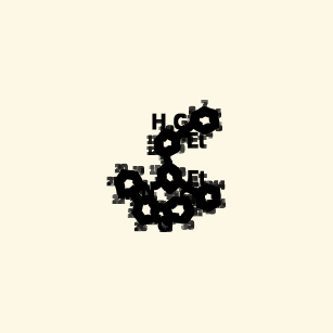 CCC(C)(c1ccccc1)c1cccc(-c2cc(-n3c4ccccc4c4ccc5oc6ccccc6c5c43)cc(C(C)(CC)c3ccccc3)c2)c1